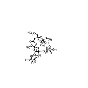 O=C(O)CC(CC(=O)OC(O)(OO)OC(CC(=O)O)(CC(=O)O)C(=O)O)(OC(O)(OO)OO)C(=O)O.[O]=[Mo](=[O])([OH])[OH].[O]=[Mo](=[O])([OH])[OH]